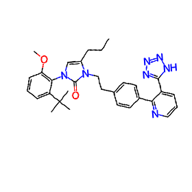 CCCc1cn(-c2c(OC)cccc2C(C)(C)C)c(=O)n1CCc1ccc(-c2ncccc2-c2nnn[nH]2)cc1